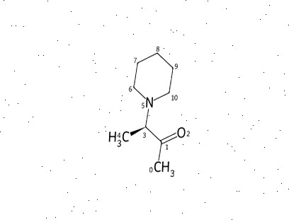 CC(=O)[C@@H](C)N1CCCCC1